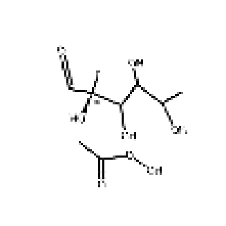 CC(=O)OO.CC(O)C(O)C(O)[C@@](O)(F)C=O